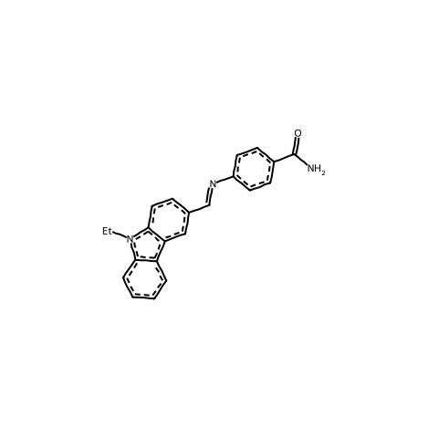 CCn1c2ccccc2c2cc(/C=N/c3ccc(C(N)=O)cc3)ccc21